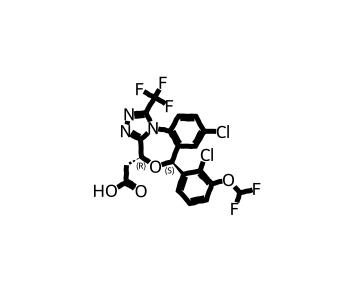 O=C(O)C[C@H]1O[C@H](c2cccc(OC(F)F)c2Cl)c2cc(Cl)ccc2-n2c1nnc2C(F)(F)F